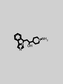 NN1CCC(C(O)CC2c3ccccc3-c3cncn32)CC1